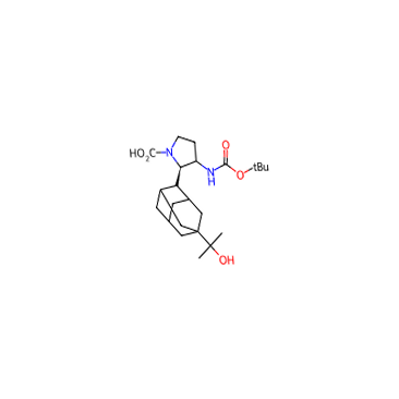 CC(C)(C)OC(=O)NC1CCN(C(=O)O)[C@@H]1C1C2CC3CC1CC(C(C)(C)O)(C3)C2